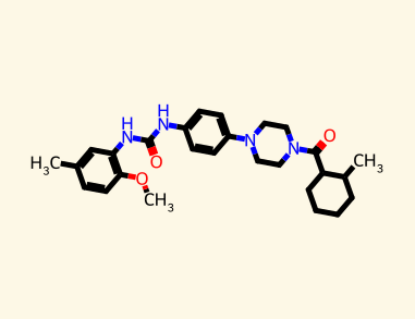 COc1ccc(C)cc1NC(=O)Nc1ccc(N2CCN(C(=O)C3CCCCC3C)CC2)cc1